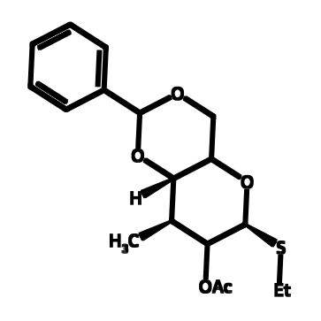 CCS[C@@H]1OC2COC(c3ccccc3)O[C@H]2[C@H](C)C1OC(C)=O